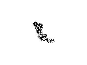 O=C(NCCO)c1ccnc(N2CCC(C(=O)N3N=CCC3c3ccccc3)CC2)n1